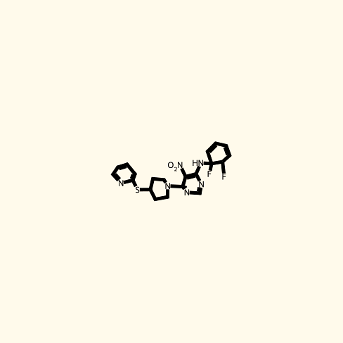 O=[N+]([O-])c1c(NC2(F)C=CC=CC2F)ncnc1N1CCC(Sc2ccccn2)CC1